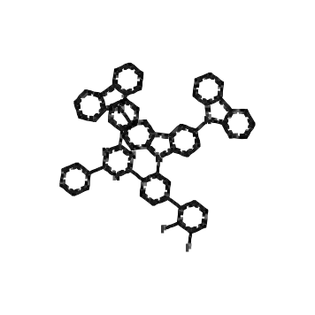 Fc1cccc(-c2ccc(-c3nc(-c4ccccc4)nc(-c4ccccc4)n3)c(-n3c4ccc(-n5c6ccccc6c6ccccc65)cc4c4cc(-n5c6ccccc6c6ccccc65)ccc43)c2)c1F